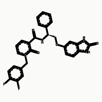 O=C(N[C@@H](COc1ccc2[nH]c(=O)[nH]c2c1)c1ccccc1)c1cccn(Cc2ccc(F)c(F)c2)c1=O